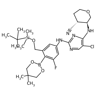 CC1(C)COB(c2c(F)cc(Nc3ncc(Cl)c(N[C@@H]4COCC[C@H]4C#N)n3)cc2CO[Si](C)(C)C(C)(C)C)OC1